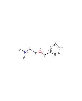 CN(C)CCO[CH]c1ccccc1